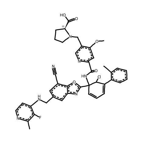 COc1cc(C(=O)NC2(c3nc4cc(CNc5ccnc(C)c5F)cc(C#N)c4o3)C=CC=C(c3ccccc3C)C2Cl)ncc1CN1CCC[C@H]1C(=O)O